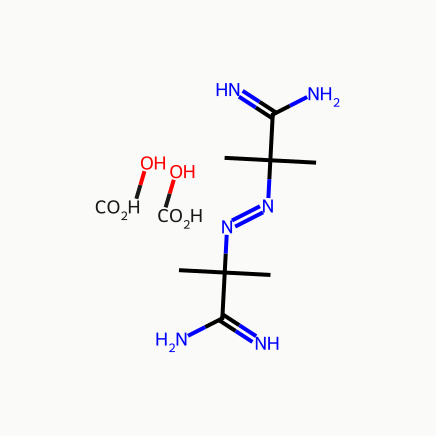 CC(C)(N=NC(C)(C)C(=N)N)C(=N)N.O=C(O)O.O=C(O)O